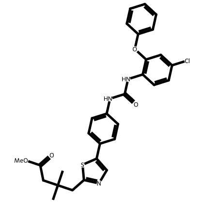 COC(=O)CC(C)(C)Cc1ncc(-c2ccc(NC(=O)Nc3ccc(Cl)cc3Oc3ccccc3)cc2)s1